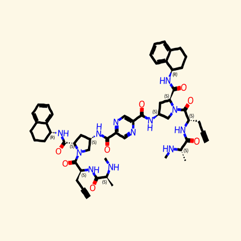 C#CC[C@H](NC(=O)[C@H](C)NC)C(=O)N1C[C@@H](NC(=O)c2cnc(C(=O)N[C@H]3C[C@@H](C(=O)N[C@@H]4CCCc5ccccc54)N(C(=O)[C@H](CC#C)NC(=O)[C@H](C)NC)C3)cn2)C[C@H]1C(=O)N[C@@H]1CCCc2ccccc21